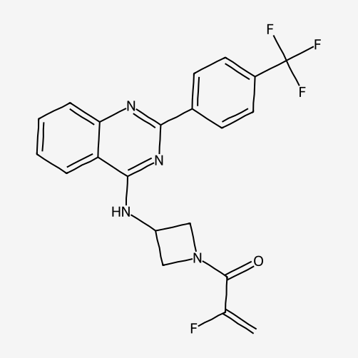 C=C(F)C(=O)N1CC(Nc2nc(-c3ccc(C(F)(F)F)cc3)nc3ccccc23)C1